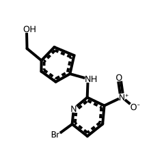 O=[N+]([O-])c1ccc(Br)nc1Nc1ccc(CO)cc1